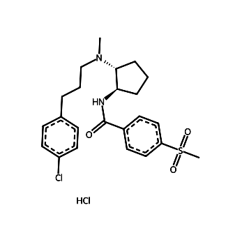 CN(CCCc1ccc(Cl)cc1)[C@@H]1CCC[C@H]1NC(=O)c1ccc(S(C)(=O)=O)cc1.Cl